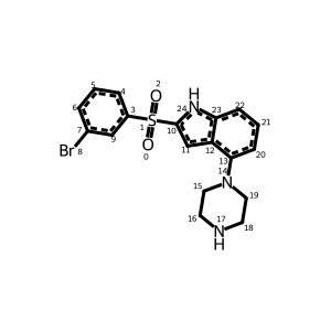 O=S(=O)(c1cccc(Br)c1)c1cc2c(N3CCNCC3)cccc2[nH]1